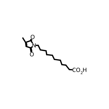 CC1=CC(=O)N(CCCCCCCCCCC(=O)O)C1=O